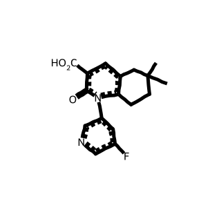 CC1(C)CCc2c(cc(C(=O)O)c(=O)n2-c2cncc(F)c2)C1